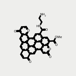 COC(=O)c1cc2c(C(=O)NCCN)cc3c4c5occc(=O)c5cc5cc6c7c(cc8c9cc(=O)oc1c9c2c3c8c7c54)C(=O)C=C6